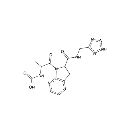 CC(NC(=O)O)C(=O)N1c2ncccc2CC1C(=O)NCc1nn[nH]n1